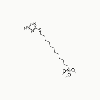 CO[Si](CCCCCCCCCCCCSc1nc[nH]n1)(OC)OC